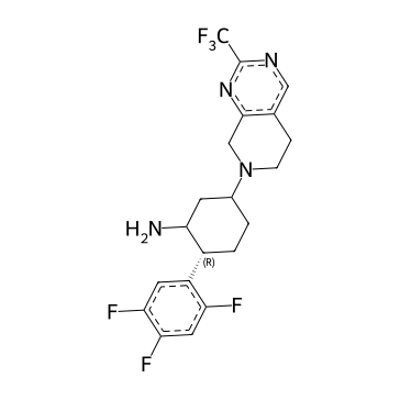 NC1CC(N2CCc3cnc(C(F)(F)F)nc3C2)CC[C@@H]1c1cc(F)c(F)cc1F